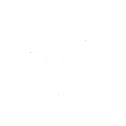 COc1cc2c(c(-c3ccc(F)c(Cl)c3)c1)OC(CN)C2